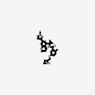 Cc1ccc(OCC2CCN2)cc1C(=O)NC1(c2cc(-c3ccn(C)n3)cc3ncccc23)CC1